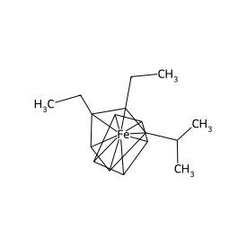 CC[C]12[CH]3[CH]4[C]5(C(C)C)[C]1(CC)[Fe]34251678[CH]2[CH]1[CH]6[CH]7[CH]28